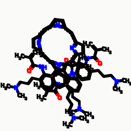 C=C(C)C(=O)Nc1c(CCCN(C)C)cccc1-c1c(-c2cccc(CCCN(C)C)c2NC(=O)C(=C)C)c2c(-c3cccc(CCCN(C)C)c3NC(=O)C(=C)C)c3nc(cc4ccc(cc5nc(cc1n2-c1cccc(CCCN(C)C)c1NC(=O)C(=C)C)C=C5)[nH]4)C=C3